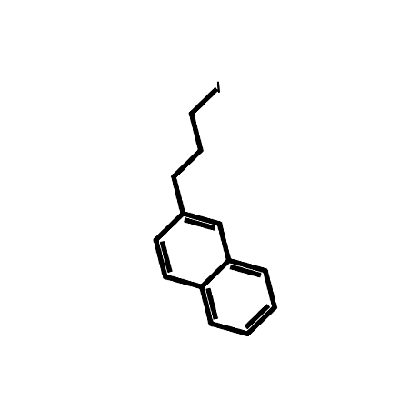 ICCCc1ccc2ccccc2c1